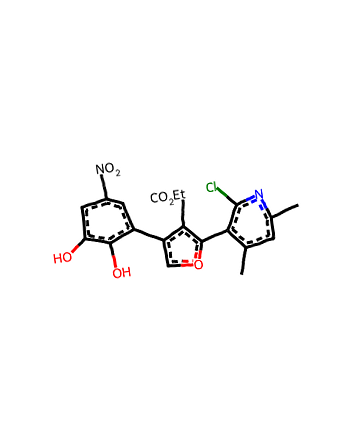 CCOC(=O)c1c(-c2cc([N+](=O)[O-])cc(O)c2O)coc1-c1c(C)cc(C)nc1Cl